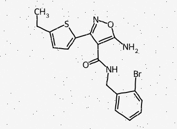 CCc1ccc(-c2noc(N)c2C(=O)NCc2ccccc2Br)s1